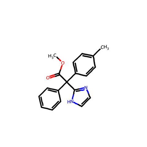 COC(=O)C(c1ccccc1)(c1ccc(C)cc1)c1ncc[nH]1